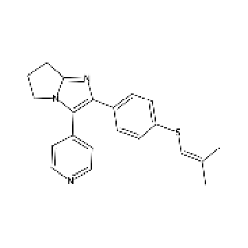 CC(C)=CSc1ccc(-c2nc3n(c2-c2ccncc2)CCC3)cc1